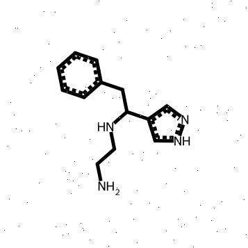 NCCNC(Cc1ccccc1)c1cn[nH]c1